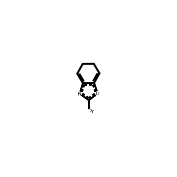 CC(C)c1nc2c(o1)=CCCC=2